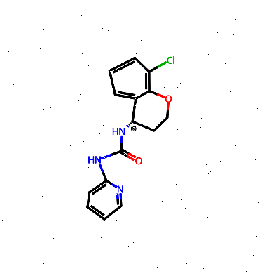 O=C(Nc1ccccn1)N[C@H]1CCOc2c(Cl)cccc21